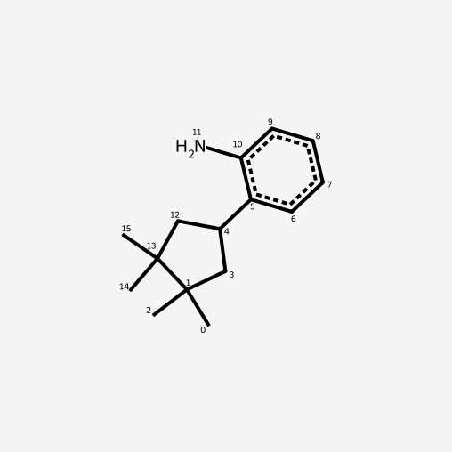 CC1(C)CC(c2ccccc2N)CC1(C)C